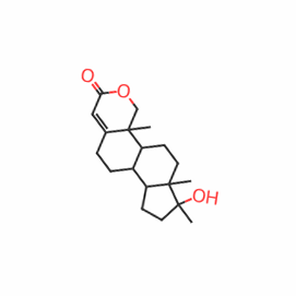 CC12COC(=O)C=C1CCC1C2CCC2(C)C1CCC2(C)O